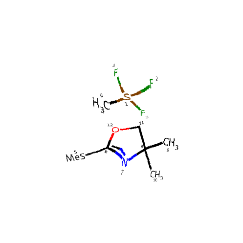 CS(F)(F)F.CSC1=NC(C)(C)CO1